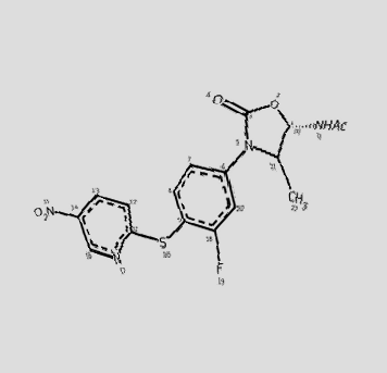 CC(=O)N[C@H]1OC(=O)N(c2ccc(Sc3ccc([N+](=O)[O-])cn3)c(F)c2)C1C